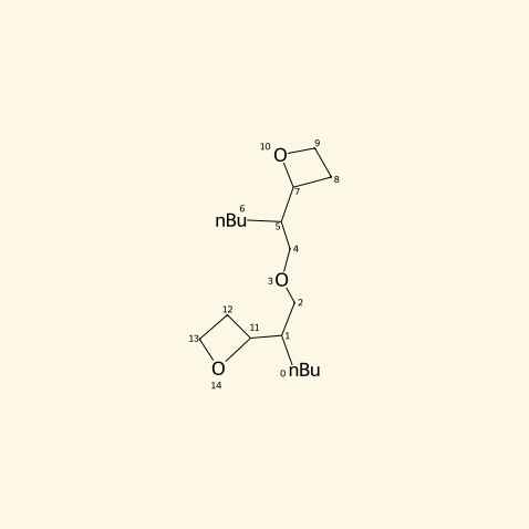 CCCCC(COCC(CCCC)C1CCO1)C1CCO1